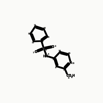 O=C(O)c1cc(NS(=O)(=O)c2ccccc2)ccn1